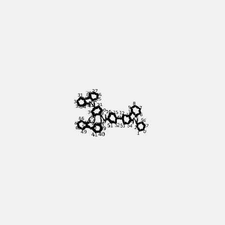 c1ccc(-n2c3ccccc3c3cc(-c4ccc(N(c5ccc(-n6c7ccccc7c7ccccc76)cc5)c5cccc6c5oc5ccccc56)cc4)ccc32)cc1